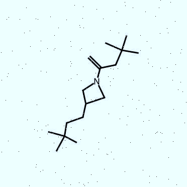 C=C(CC(C)(C)C)N1CC(CCC(C)(C)C)C1